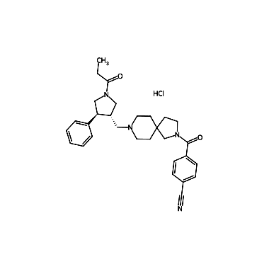 CCC(=O)N1C[C@H](CN2CCC3(CC2)CCN(C(=O)c2ccc(C#N)cc2)C3)[C@@H](c2ccccc2)C1.Cl